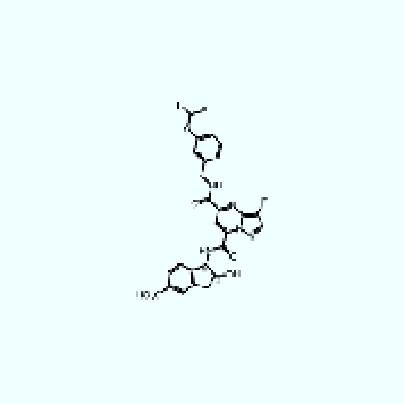 O=C(O)c1ccc2c(c1)C[C@H](O)[C@@H]2NC(=O)c1cc(C(=O)NCc2cccc(OC(F)F)c2)nc2c(F)cnn12